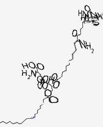 CCCCCCCC/C=C\CCCCCCCC(=O)OCC(COP(=O)(O)OCC(N)C(=O)O)OC(=O)CCCCCCCCCCC(N)C(=O)CCCC[C@@H]1SC[C@@H]2NC(=O)N[C@@H]21